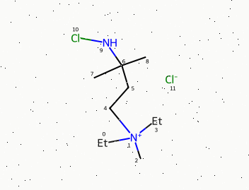 CC[N+](C)(CC)CCC(C)(C)NCl.[Cl-]